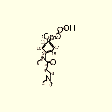 CN(C)CCC(=O)N(C)c1cc[c]([Ge][O]OO)cc1